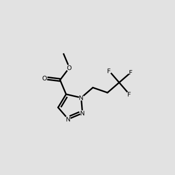 COC(=O)c1cnnn1CCC(F)(F)F